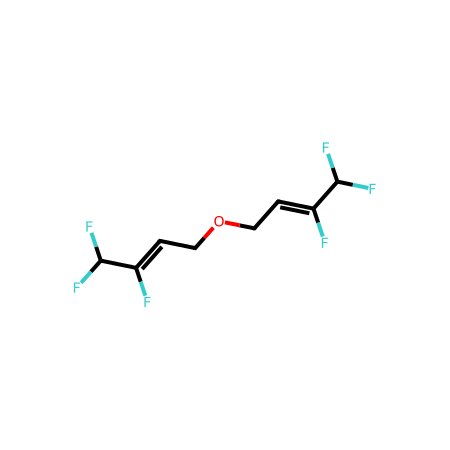 FC(=CCOCC=C(F)C(F)F)C(F)F